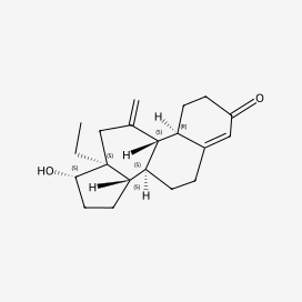 C=C1C[C@]2(CC)[C@@H](O)CC[C@H]2[C@@H]2CCC3=CC(=O)CC[C@@H]3[C@@H]12